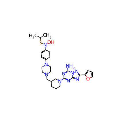 CC(C)SN(O)c1ccc(N2CCN(CC3CCCN(c4nc(N)n5nc(-c6ccco6)nc5n4)C3)CC2)cc1